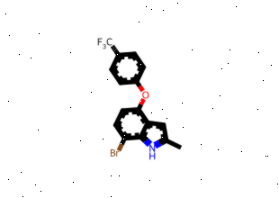 Cc1cc2c(Oc3ccc(C(F)(F)F)cc3)ccc(Br)c2[nH]1